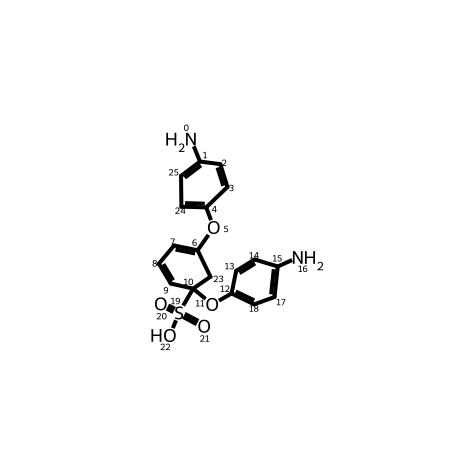 Nc1ccc(OC2=CC=CC(Oc3ccc(N)cc3)(S(=O)(=O)O)C2)cc1